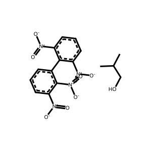 CC(C)CO.O=[N+]([O-])c1cccc([N+](=O)[O-])c1-c1cccc([N+](=O)[O-])c1[N+](=O)[O-]